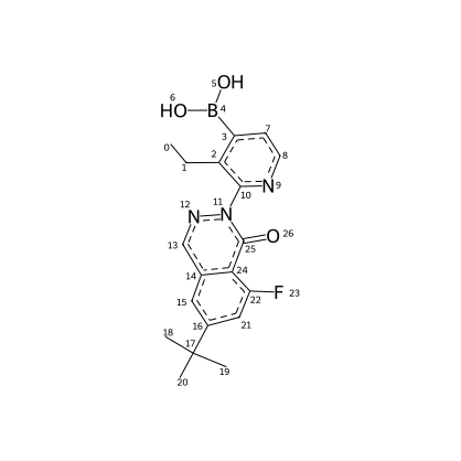 CCc1c(B(O)O)ccnc1-n1ncc2cc(C(C)(C)C)cc(F)c2c1=O